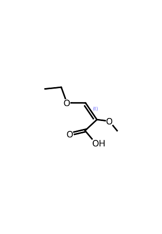 CCO/C=C(/OC)C(=O)O